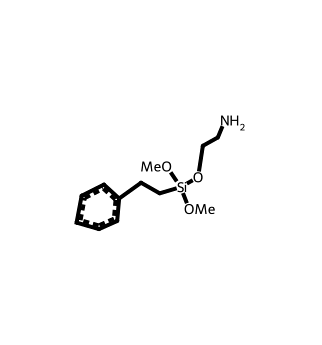 CO[Si](CCc1ccccc1)(OC)OCCN